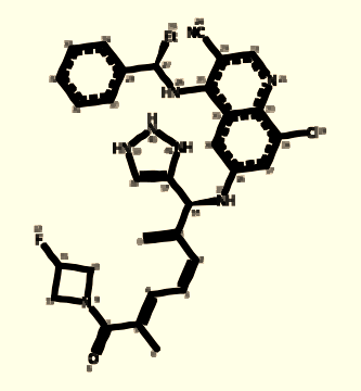 C=C(/C=C\C=C(/C)C(=O)N1CC(F)C1)[C@H](Nc1cc(Cl)c2ncc(C#N)c(N[C@H](CC)c3ccccc3)c2c1)C1=CNNN1